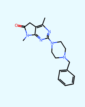 Cc1nc(N2CCN(Cc3ccccc3)CC2)nc2c1CC(=O)N2C